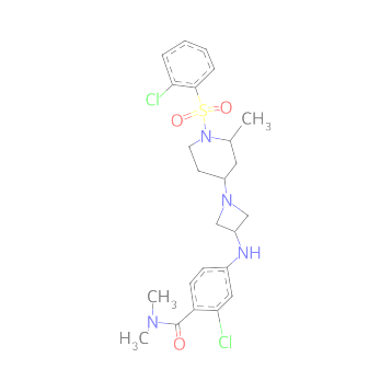 CC1CC(N2CC(Nc3ccc(C(=O)N(C)C)c(Cl)c3)C2)CCN1S(=O)(=O)c1ccccc1Cl